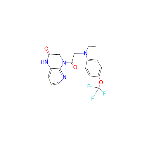 CCN(CC(=O)N1CC(=O)Nc2cccnc21)c1ccc(OC(F)(F)F)cc1